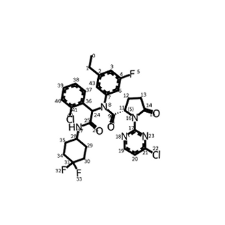 CCc1cc(F)cc(N(C(=O)[C@@H]2CCC(=O)N2c2nccc(Cl)n2)C(C(=O)NC2CCC(F)(F)CC2)c2ccccc2Cl)c1